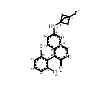 O=c1ncn2nc(NC34CC(F)(C3)C4)ccc2c1-c1c(Cl)cccc1Cl